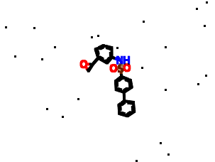 O=S(=O)(Nc1cccc(C2CO2)c1)c1ccc(-c2ccccc2)cc1